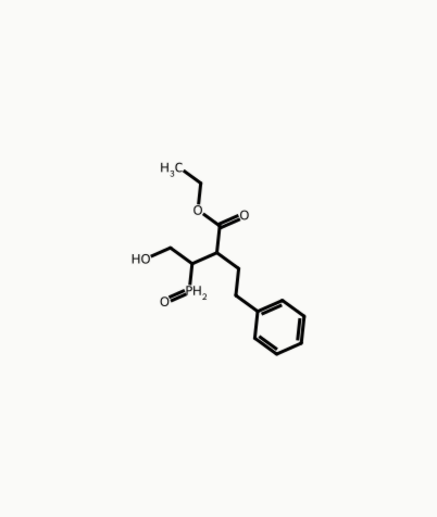 CCOC(=O)C(CCc1ccccc1)C(CO)[PH2]=O